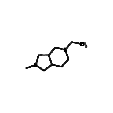 CN1CC2CCN(CC(F)(F)F)CC2C1